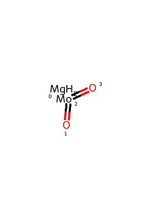 [MgH2].[O]=[Mo]=[O]